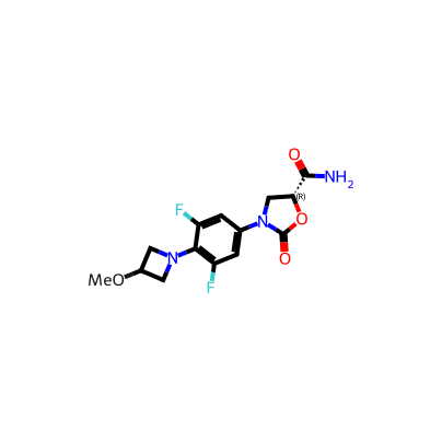 COC1CN(c2c(F)cc(N3C[C@H](C(N)=O)OC3=O)cc2F)C1